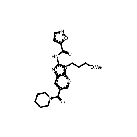 COCCCn1c(NC(=O)c2ccno2)nc2cc(C(=O)N3CCCCC3)cnc21